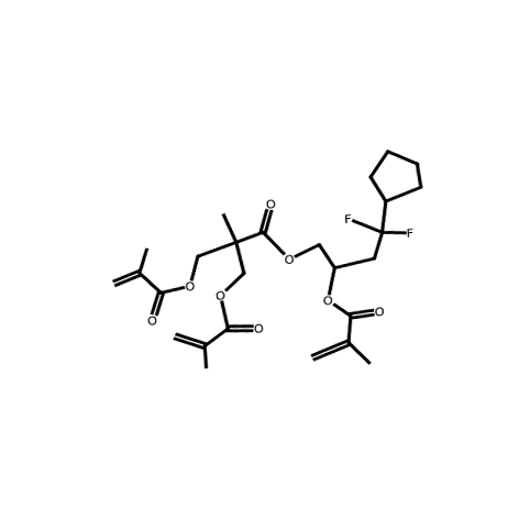 C=C(C)C(=O)OCC(C)(COC(=O)C(=C)C)C(=O)OCC(CC(F)(F)C1CCCC1)OC(=O)C(=C)C